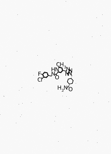 Cc1cc(-c2nnn(C[C@H]3CC[C@H](C(N)=O)CC3)n2)cc(C(=O)NCc2ccc(F)c(Cl)c2)n1